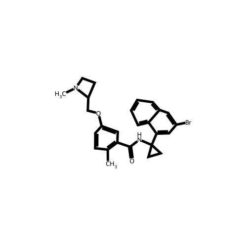 Cc1ccc(OCC2CCN2C)cc1C(=O)NC1(c2cc(Br)cc3ccccc23)CC1